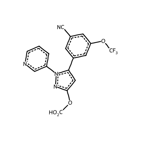 N#Cc1cc(OC(F)(F)F)cc(-c2cc(OC(=O)O)nn2-c2cccnc2)c1